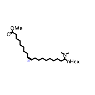 CCCCCCC(CCCCCCCC/C=C\CCCCCCCC(=O)OC)N(C)C